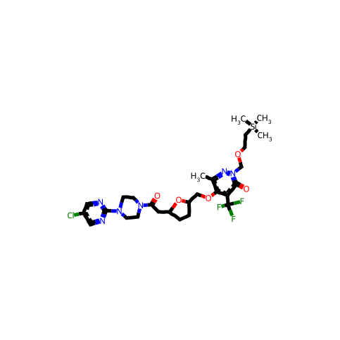 Cc1nn(COCC[Si](C)(C)C)c(=O)c(C(F)(F)F)c1OCC1CCC(CC(=O)N2CCN(c3ncc(Cl)cn3)CC2)O1